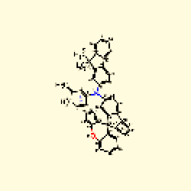 C=C/C=C(\C=C/C)N(c1ccc2c(c1)C(C)(C)c1ccccc1-2)c1ccc2c(c1)C1(c3ccccc3Oc3ccccc31)c1ccccc1-2